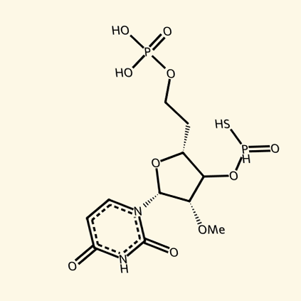 CO[C@H]1C(O[PH](=O)S)[C@@H](CCOP(=O)(O)O)O[C@H]1n1ccc(=O)[nH]c1=O